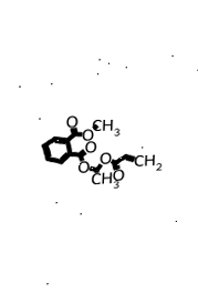 C=CC(=O)OC(C)OC(=O)c1ccccc1C(=O)OC